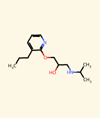 CCCc1cccnc1OCC(O)CNC(C)C